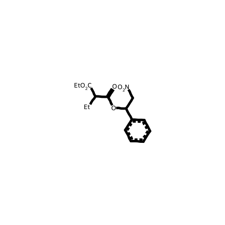 CCOC(=O)C(CC)C(=O)OC(C[N+](=O)[O-])c1ccccc1